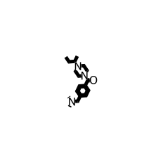 CCC(C)N1CCN(C(=O)c2ccc(CN(C)C)cc2)CC1